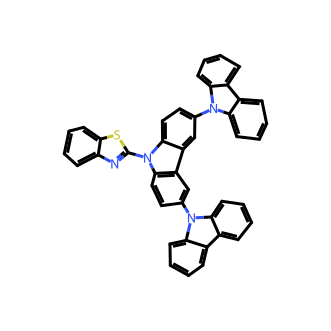 c1ccc2sc(-n3c4ccc(-n5c6ccccc6c6ccccc65)cc4c4cc(-n5c6ccccc6c6ccccc65)ccc43)nc2c1